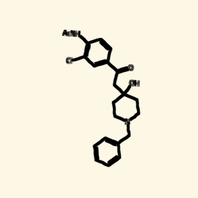 CC(=O)Nc1ccc(C(=O)CC2(O)CCN(Cc3ccccc3)CC2)cc1Cl